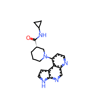 O=C(NC1CC1)[C@H]1CCCN(c2ccnc3cnc4[nH]ccc4c23)C1